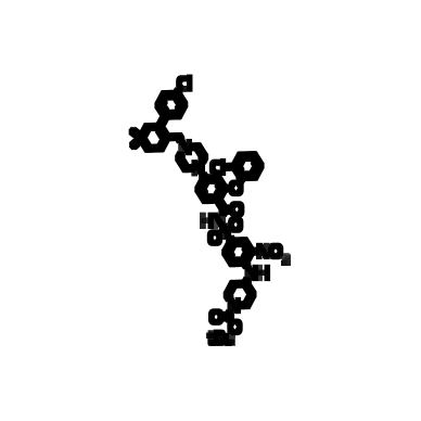 CC1(C)CCC(CN2CCN(c3ccc(C(=O)NS(=O)(=O)c4ccc(NC5CCN(C(=O)OC(C)(C)C)CC5)c([N+](=O)[O-])c4)c(Oc4ccccc4Cl)c3)CC2)=C(c2ccc(Cl)cc2)C1